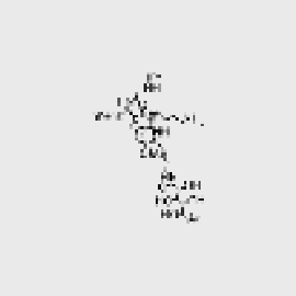 CCCCC[C@H](NC(=O)CNC(C)C)C(=O)N[C@@H](CCCCN)C(=O)N[C@@H](CCCCNC(=O)C(O)C(O)C(O)C(O)C(C)=O)C(=O)OC